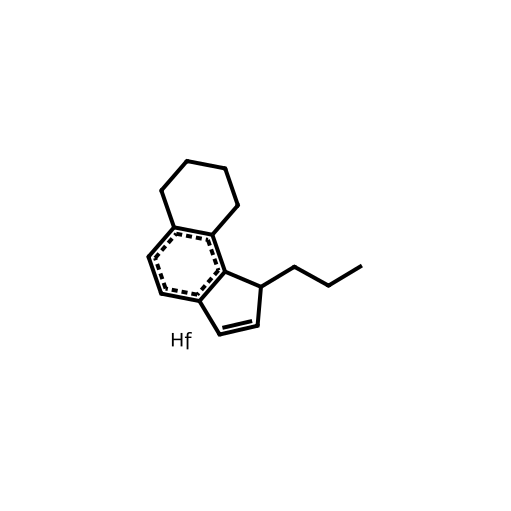 CCCC1C=Cc2ccc3c(c21)CCCC3.[Hf]